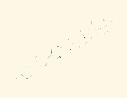 CC1CCC(C2CCC(c3ccc(C(F)(F)C(F)(F)C(F)(F)C(F)(F)C(F)(F)C(F)(F)C(F)(F)C(F)(F)F)cc3)CC2)CC1